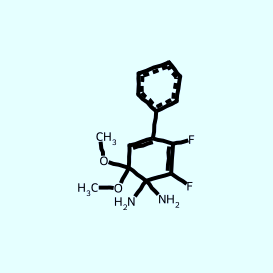 COC1(OC)C=C(c2ccccc2)C(F)=C(F)C1(N)N